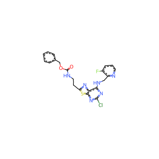 O=C(NCCc1nc2c(NCc3ncccc3F)nc(Cl)nc2s1)OCc1ccccc1